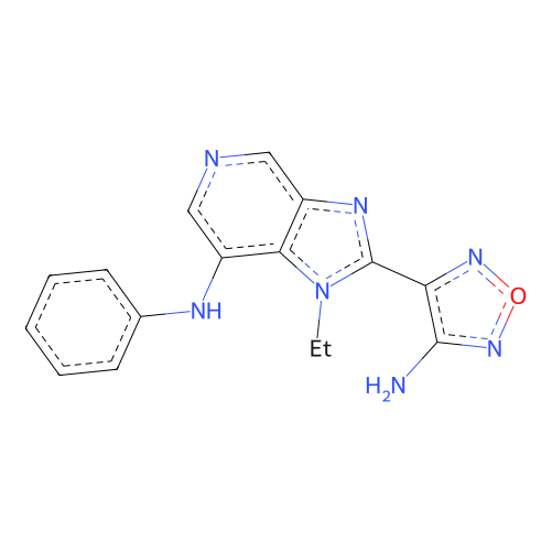 CCn1c(-c2nonc2N)nc2cncc(Nc3ccccc3)c21